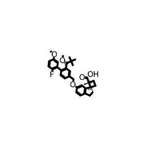 COc1ccc(F)c(-c2ccc(COc3ccc4c(c3)[C@]3(CC4)CC[C@@]3(C)C(=O)O)cc2[C@@H](OC)C(C)(C)C)c1